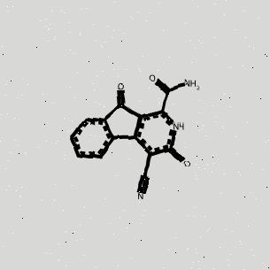 N#Cc1c2c(c(C(N)=O)[nH]c1=O)C(=O)c1ccccc1-2